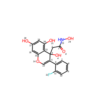 O=C(CC1(O)C(c2ccccc2F)=COc2cc(O)cc(O)c21)NO